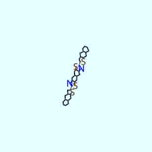 c1ccc2cc3sc(-c4nc5cc6cc7sc(-c8cc9cc%10ccccc%10cc9s8)nc7cc6cc5s4)cc3cc2c1